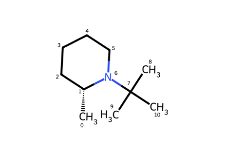 C[C@@H]1CCCCN1C(C)(C)C